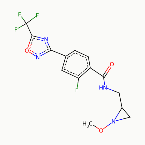 CON1CC1CNC(=O)c1ccc(-c2noc(C(F)(F)F)n2)cc1F